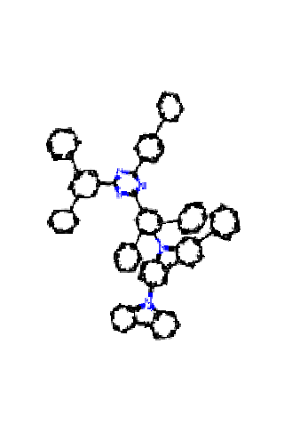 c1ccc(-c2ccc(-c3nc(-c4cc(-c5ccccc5)cc(-c5ccccc5)c4)nc(-c4cc(-c5ccccc5)c(-n5c6ccc(-n7c8ccccc8c8ccccc87)cc6c6ccc(-c7ccccc7)cc65)c(-c5ccccc5)c4)n3)cc2)cc1